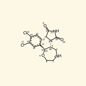 O=C1CN([C@@H]2CNCCO[C@H]2c2ccc(Cl)c(Cl)c2)C(=O)N1